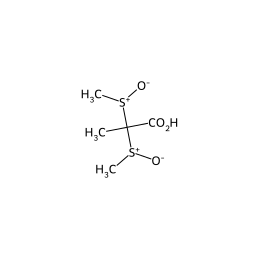 C[S+]([O-])C(C)(C(=O)O)[S+](C)[O-]